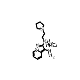 Cl.Cl.Nc1c(NCCN2CCCC2)nn2ccccc12